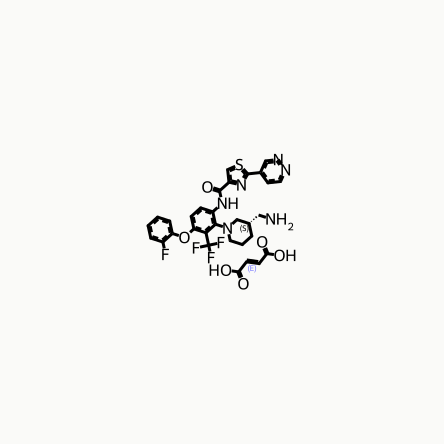 NC[C@@H]1CCCN(c2c(NC(=O)c3csc(-c4ccnnc4)n3)ccc(Oc3ccccc3F)c2C(F)(F)F)C1.O=C(O)/C=C/C(=O)O